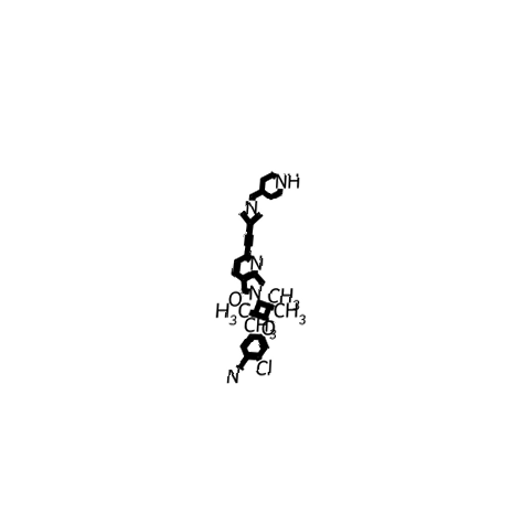 CC1(C)[C@H](Oc2ccc(C#N)c(Cl)c2)C(C)(C)[C@H]1N1Cc2nc(C#CC3CN(CC4CCNCC4)C3)ccc2C1=O